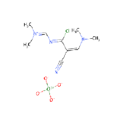 CN(C)C=C(C#N)C(Cl)=NC=[N+](C)C.[O-][Cl+3]([O-])([O-])[O-]